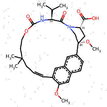 COc1cc2ccc3cc2cc1C=CCC(C)(C)CCOC(=O)N[C@@H](C(C)C)C(=O)N1C[C@@]3(OC)C[C@H]1C(=O)O